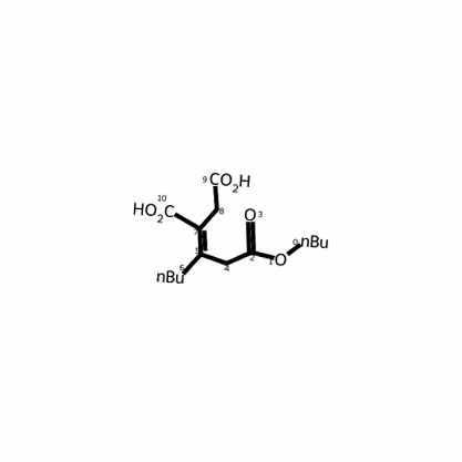 CCCCOC(=O)CC(CCCC)=C(CC(=O)O)C(=O)O